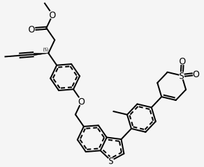 CC#C[C@@H](CC(=O)OC)c1ccc(OCc2ccc3scc(-c4ccc(C5=CCS(=O)(=O)CC5)cc4C)c3c2)cc1